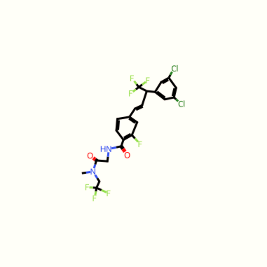 CN(CC(F)(F)F)C(=O)CNC(=O)c1ccc(/C=C/C(c2cc(Cl)cc(Cl)c2)C(F)(F)F)cc1F